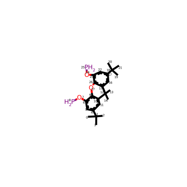 CC(C)(C)c1cc(OP)c2c(c1)C(C)(C)c1cc(C(C)(C)C)cc(OP)c1O2